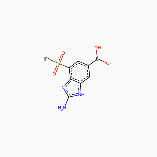 CC(C)S(=O)(=O)c1cc(B(O)O)cc2[nH]c(N)nc12